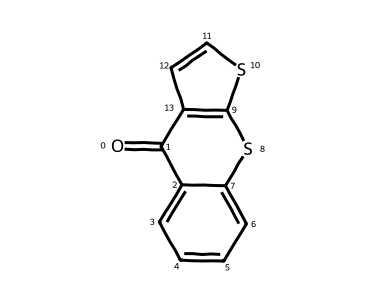 O=c1c2ccccc2sc2sccc12